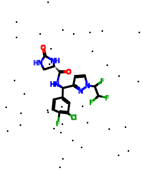 O=C1NC[C@@H](C(=O)N[C@H](c2ccc(F)c(Cl)c2)c2ccn(C(F)C(F)F)n2)N1